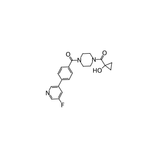 O=C(c1ccc(-c2cncc(F)c2)cc1)N1CCN(C(=O)C2(O)CC2)CC1